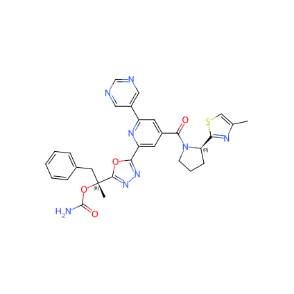 Cc1csc([C@H]2CCCN2C(=O)c2cc(-c3cncnc3)nc(-c3nnc([C@@](C)(Cc4ccccc4)OC(N)=O)o3)c2)n1